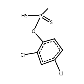 CP(=S)(S)Oc1ccc(Cl)cc1Cl